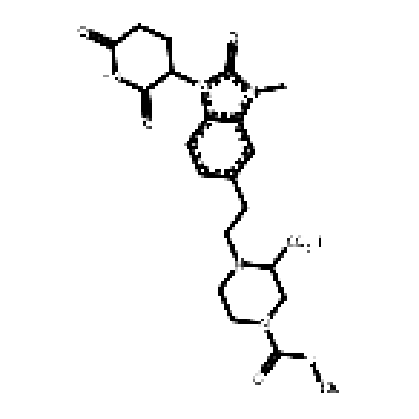 Cn1c(=O)n(C2CCC(=O)NC2=O)c2ccc(CCN3CCN(C(=O)OC(C)(C)C)CC3C(=O)O)cc21